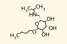 CCCCO[C@H]1O[C@H](CNC(C)C)[C@@H](O)[C@H](O)[C@H]1O